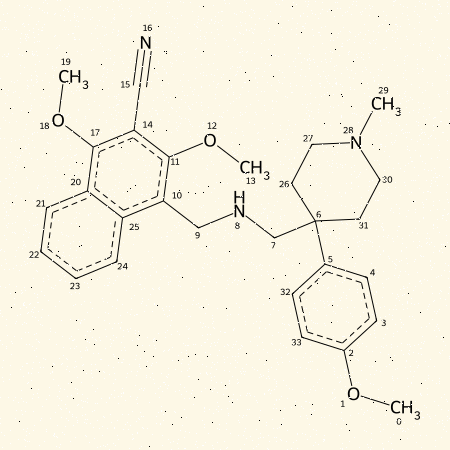 COc1ccc(C2(CNCc3c(OC)c(C#N)c(OC)c4ccccc34)CCN(C)CC2)cc1